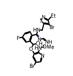 CCc1nsc(CN/C(=N\C=N)c2ccc(F)cc2C(C)Oc2cc(Br)cnc2NOC)c1Br